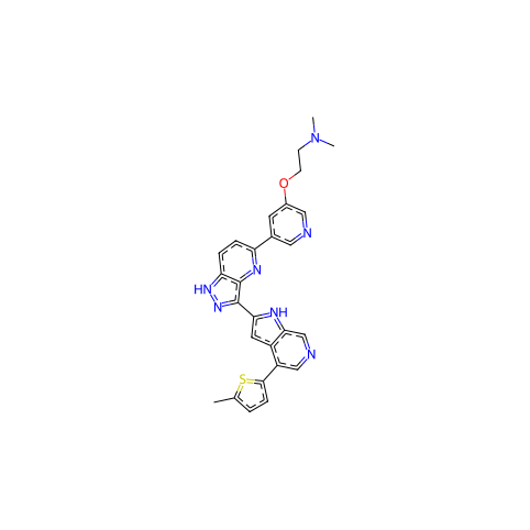 Cc1ccc(-c2cncc3[nH]c(-c4n[nH]c5ccc(-c6cncc(OCCN(C)C)c6)nc45)cc23)s1